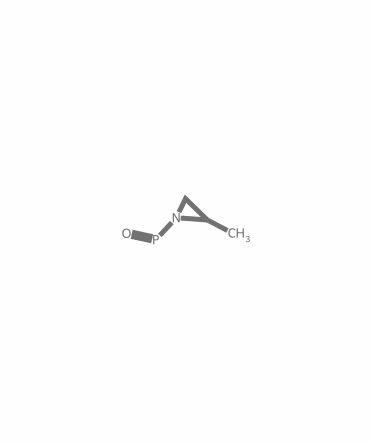 CC1CN1P=O